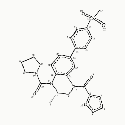 C[C@H]1CN(C(=O)c2ccco2)c2cc(-c3ccc(S(C)(=O)=O)cc3)ccc2N1C(=O)N1CCCC1